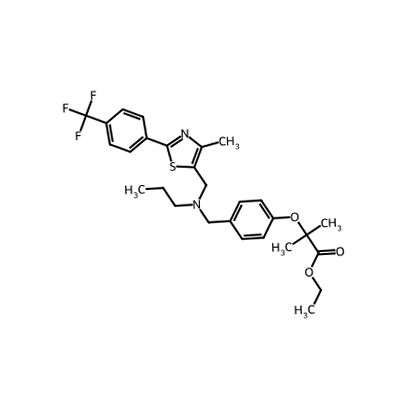 CCCN(Cc1ccc(OC(C)(C)C(=O)OCC)cc1)Cc1sc(-c2ccc(C(F)(F)F)cc2)nc1C